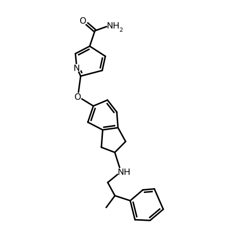 CC(CNC1Cc2ccc(Oc3ccc(C(N)=O)cn3)cc2C1)c1ccccc1